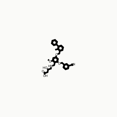 COc1cc(OCc2cccc(-c3ccccc3)c2C)cc(OCc2cccc(C#N)c2)c1CNCC(O)CC(=O)O